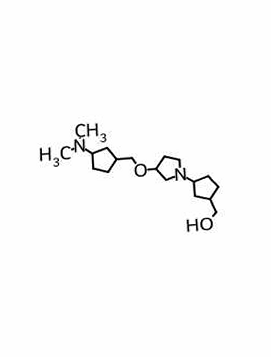 CN(C)C1CCC(COC2CCN(C3CCC(CO)C3)C2)C1